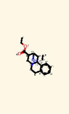 CCOC(=O)C1CC2C3Cc4ccccc4[C@]2(CC)CC1N3